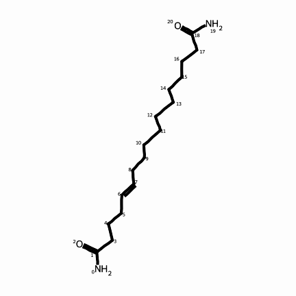 NC(=O)CCCC=CCCCCCCCCCCC(N)=O